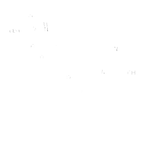 CCCCS(=O)(=O)NC(=O)c1ccc2nc(C)n(C(C(=O)c3ccccc3)c3ccccc3)c2c1